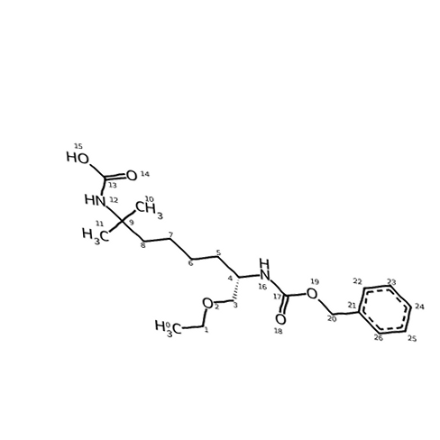 CCOC[C@H](CCCCC(C)(C)NC(=O)O)NC(=O)OCc1ccccc1